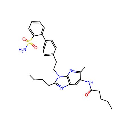 CCCCC(=O)Nc1cc2nc(CCCC)n(CCc3ccc(-c4ccccc4S(N)(=O)=O)cc3)c2nc1C